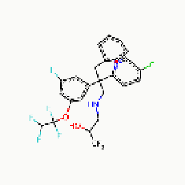 OC(CNCC(Cc1ccccc1)(c1cc(F)cc(OC(F)(F)C(F)F)c1)c1ccc(Cl)cn1)C(F)(F)F